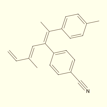 C=C/C(C)=C/C(=C(\C)c1ccc(C)cc1)c1ccc(C#N)cc1